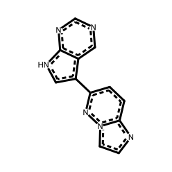 c1ncc2c(-c3ccc4nccn4n3)c[nH]c2n1